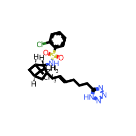 CC1(C)[C@H]2C[C@H](CC=CCCCc3nnn[nH]3)[C@@H](NS(=O)(=O)c3ccccc3Cl)[C@@H]1C2